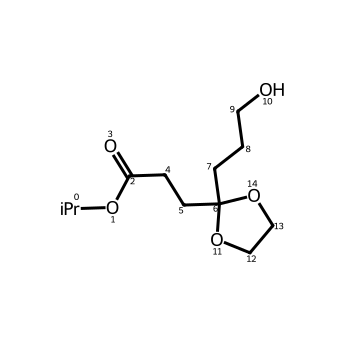 CC(C)OC(=O)CCC1(CCCO)OCCO1